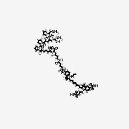 CCCN1c2ccc(S(=O)(=O)N(C)CCCC(=O)NCCCC[C@H](NC(=O)CCCNC(=O)[C@@H]3CCCN3C(=O)[C@@H]3CCCN3C(=O)[C@H](CCCNC(=N)N)NC(=O)[C@@H]3CCCN3C(=O)CN)C(=O)O)cc2C(C)(C)C1/C=C/C=C/C=C/C=C1/N(CCCS(=O)(=O)O)c2ccc(S(=O)(=O)O)cc2C1(C)C